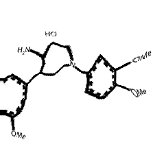 COc1cccc(C2CN(c3ccc(OC)c(OC)c3)CCC2N)c1.Cl